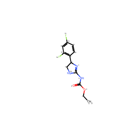 CCOC(=O)NC1=NC(c2ccc(F)cc2F)CN1